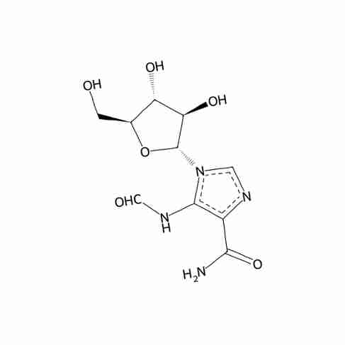 NC(=O)c1ncn([C@@H]2O[C@@H](CO)[C@H](O)[C@H]2O)c1NC=O